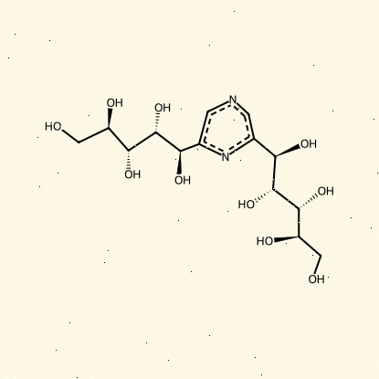 OC[C@@H](O)[C@@H](O)[C@H](O)[C@H](O)c1cncc([C@@H](O)[C@@H](O)[C@H](O)[C@H](O)CO)n1